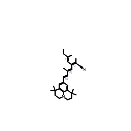 CC/C(C)=C/C(/C=C(C)/C=C/c1cc2c3c(c1)C(C)(C)CCN3CCC2(C)C)=C(\C)C#N